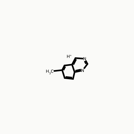 Cc1ccc2ncncc2c1.[H+]